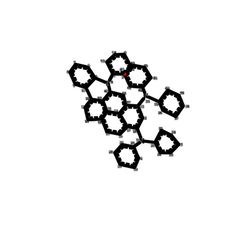 c1ccc(B2c3ccccc3-c3ccc4ccc5c(N(c6ccccc6)c6ccccc6)cc(N(c6ccccc6)c6ccccc6)c6cc2c3c4c56)cc1